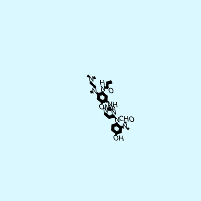 C=CC(=O)Nc1cc(Nc2nccc(N(C=O)c3ccc(O)cc3N(C)C)n2)c(OC)cc1N(C)CCN(C)C